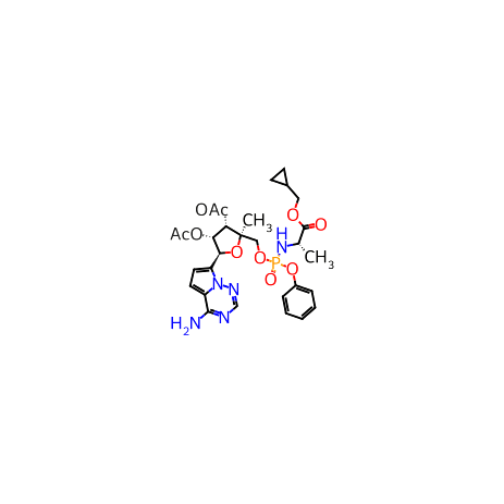 CC(=O)O[C@H]1[C@H](c2ccc3c(N)ncnn23)O[C@](C)(COP(=O)(N[C@@H](C)C(=O)OCC2CC2)Oc2ccccc2)[C@H]1OC(C)=O